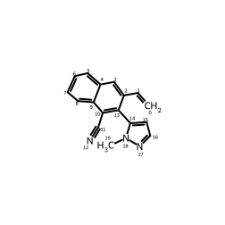 C=Cc1cc2ccccc2c(C#N)c1-c1ccnn1C